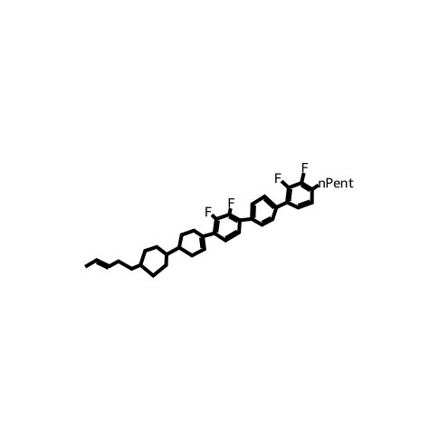 C/C=C/CCC1CCC(C2CC=C(c3ccc(-c4ccc(-c5ccc(CCCCC)c(F)c5F)cc4)c(F)c3F)CC2)CC1